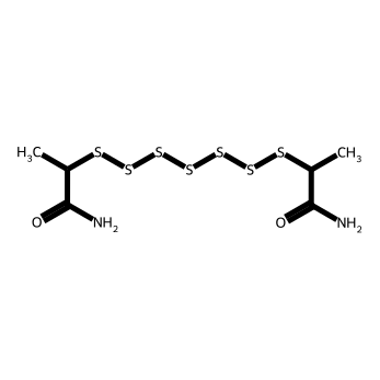 CC(SSSSSSSC(C)C(N)=O)C(N)=O